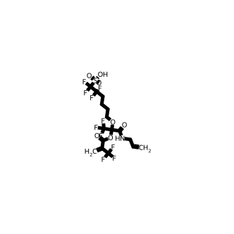 C=CCNC(=O)C(OCCCCC(F)(F)C(F)(F)S(=O)(=O)O)(OC(=O)C(=C)C(F)(F)F)C(F)(F)F